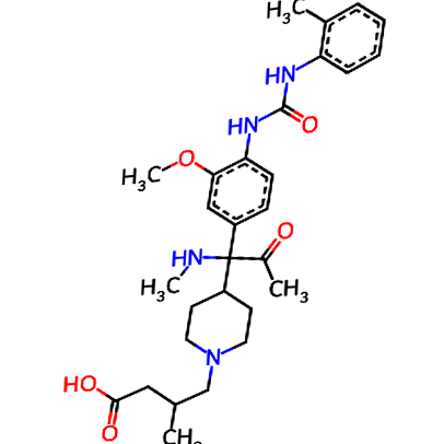 CNC(C(C)=O)(c1ccc(NC(=O)Nc2ccccc2C)c(OC)c1)C1CCN(CC(C)CC(=O)O)CC1